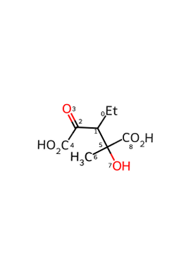 CCC(C(=O)C(=O)O)C(C)(O)C(=O)O